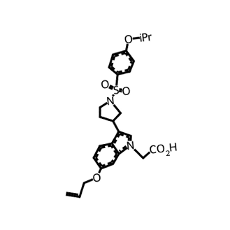 C=CCOc1ccc2c(C3CCN(S(=O)(=O)c4ccc(OC(C)C)cc4)C3)cn(CC(=O)O)c2c1